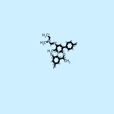 CCN(C)/C=N/c1cc(-c2ccc(F)cc2)c(OC(C)c2cc(F)cc(F)c2)nc1C